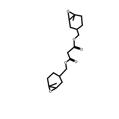 CC12CCC(COC(=O)CC(=O)OCC3CCC4(C)OC4C3)CC1O2